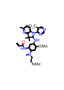 C=CC(=O)Nc1cc(NC2N(c3ncncc3C(=O)O)c3ccc(C)nc3C2(C)C)c(OC)cc1N(C)CCNC